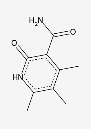 Cc1[nH]c(=O)c(C(N)=O)c(C)c1C